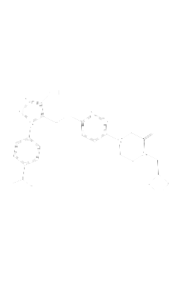 Cc1nnn(-c2ccc(C(F)F)cc2)c1COc1ccc(N2CCN(CC3COC3)C(=O)C2)nn1